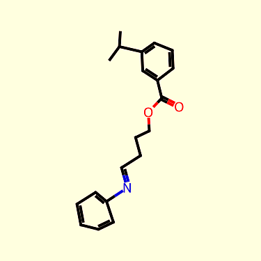 CC(C)c1cccc(C(=O)OCCCC=Nc2ccccc2)c1